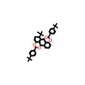 CC(C)(C)c1ccc(C(=O)Oc2c3ccccc3c(OC(=O)c3ccc(C(C)(C)C)cc3)c3c(C(C)(C)C)cccc23)cc1